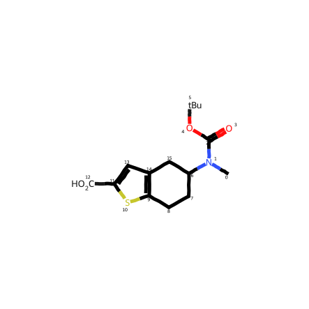 CN(C(=O)OC(C)(C)C)C1CCc2sc(C(=O)O)cc2C1